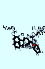 CCc1cccc2cc(OCOC)cc(-c3ncc4c(N5CC6CCC(C5)N6C(=O)OC(C)(C)C)nc(OCCO[Si](C)(C)C(C)(C)C)nc4c3F)c12